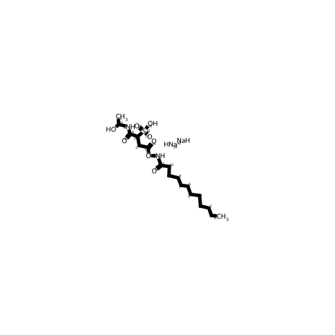 CCCCCCCCCCCC(=O)NOC(=O)CC(C(=O)NC(C)O)S(=O)(=O)O.[NaH].[NaH]